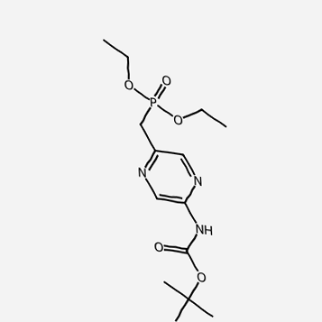 CCOP(=O)(Cc1cnc(NC(=O)OC(C)(C)C)cn1)OCC